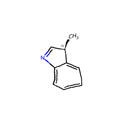 C[C@@H]1C=Nc2ccccc21